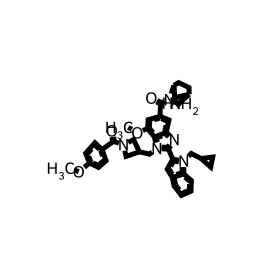 COc1ccc(C(=O)N2CC(Cn3c(-c4cc5ccccc5n4CC4CC4)nc4cc(C(=O)N5CC6CCC5[C@@H]6N)cc(OC)c43)C2)cc1